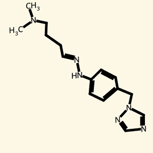 CN(C)CCCC=NNc1ccc(Cn2cncn2)cc1